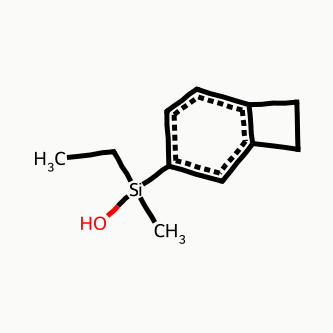 CC[Si](C)(O)c1ccc2c(c1)CC2